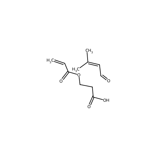 C=CC(=O)OCCC(=O)O.CC(C)=CC=O